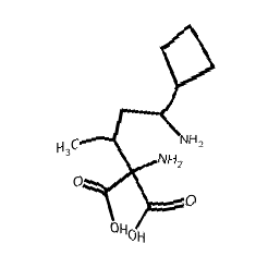 CC(CC(N)C1CCC1)C(N)(C(=O)O)C(=O)O